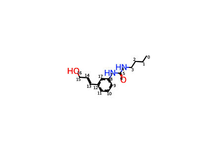 CCCCNC(=O)Nc1cccc(/C=C/CO)c1